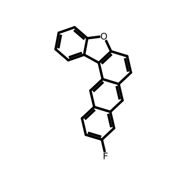 Fc1ccc2cc3c(ccc4oc5ccccc5c43)cc2c1